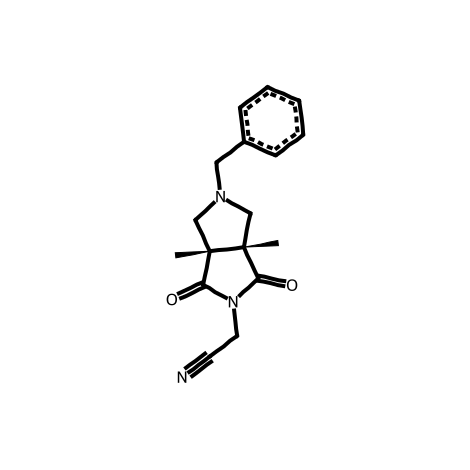 C[C@@]12CN(Cc3ccccc3)C[C@]1(C)C(=O)N(CC#N)C2=O